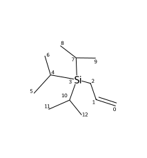 C=CC[Si](C(C)C)(C(C)C)C(C)C